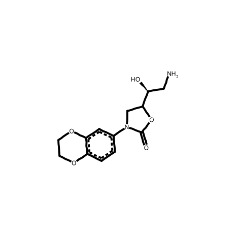 NC[C@H](O)C1CN(c2ccc3c(c2)OCCO3)C(=O)O1